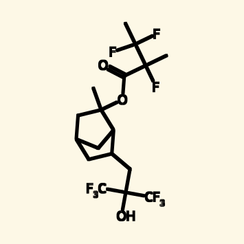 CC1(OC(=O)C(C)(F)C(C)(F)F)CC2CC(CC(O)(C(F)(F)F)C(F)(F)F)C1C2